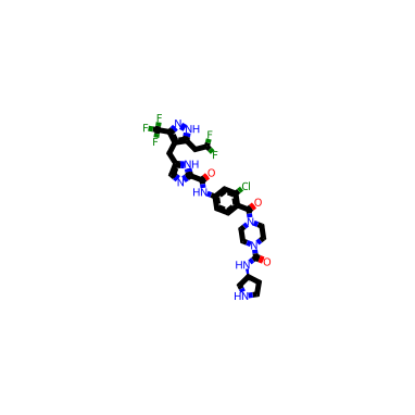 O=C(Nc1ccc(C(=O)N2CCN(C(=O)N[C@H]3CCNC3)CC2)c(Cl)c1)c1ncc(Cc2c(C(F)(F)F)n[nH]c2CC(F)F)[nH]1